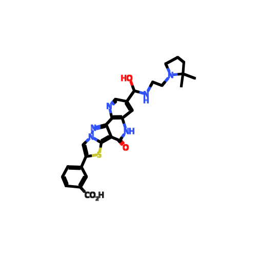 CC1(C)CCCN1CCNC(O)c1cnc2c(c1)[nH]c(=O)c1c2nn2cc(-c3cccc(C(=O)O)c3)sc12